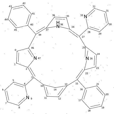 C1=C/C2=C(\c3ccccn3)C3=CC=C(C3)/C(c3ccccc3)=C3/C=CC(=N3)/C(c3ccccn3)=c3/cc/c([nH]3)=C(\c3ccccc3)C1=N2